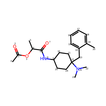 CC(=O)OC(C)C(=O)NC1CCC(Cc2ccccc2C)(N(C)C)CC1